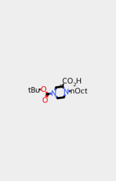 CCCCCCCCN1CCN(C(=O)OC(C)(C)C)C[C@H]1C(=O)O